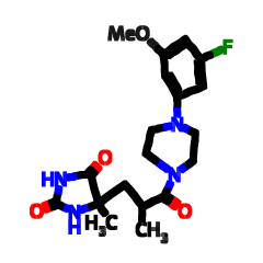 COc1cc(F)cc(N2CCN(C(=O)C(C)CC3(C)NC(=O)NC3=O)CC2)c1